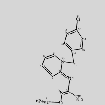 CCCCCON=C(N=c1ccccn1Cc1ccc(Cl)nc1)C(F)(F)F